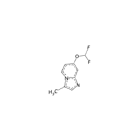 Cc1cnc2cc(OC(F)F)ccn12